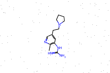 Cc1ncc(CCN2CCCC2)cc1NC(=N)N